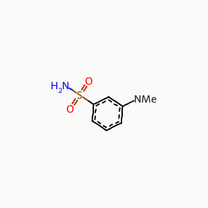 CNc1cccc(S(N)(=O)=O)c1